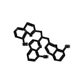 Oc1cccc2ccc(CC(Cc3ccc4cccc(O)c4n3)c3ccc4cccc(O)c4n3)nc12